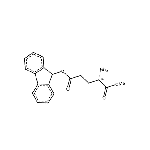 COC(=O)[C@@H](N)CCC(=O)OC1c2ccccc2-c2ccccc21